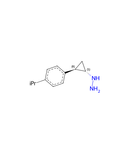 CC(C)c1ccc([C@H]2C[C@@H]2NN)cc1